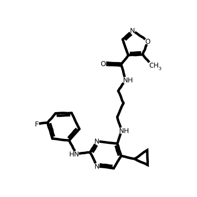 Cc1oncc1C(=O)NCCCNc1nc(Nc2cccc(F)c2)ncc1C1CC1